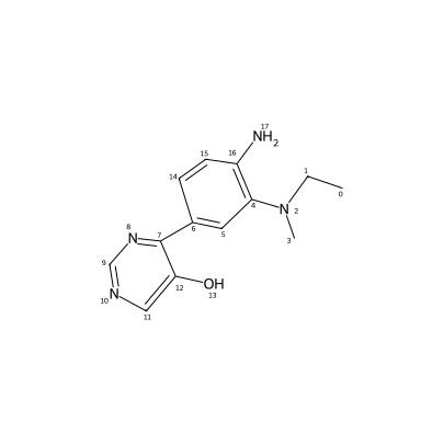 CCN(C)c1cc(-c2ncncc2O)ccc1N